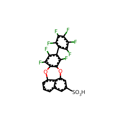 O=S(=O)(O)c1cc2c3c(cccc3c1)Oc1c(F)c(F)c(-c3c(F)c(F)c(F)c(F)c3F)c(F)c1O2